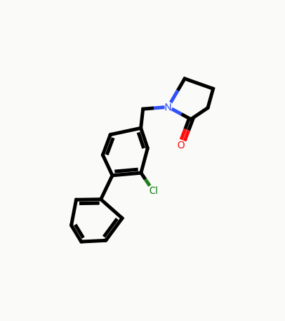 O=C1CCCN1Cc1ccc(-c2ccccc2)c(Cl)c1